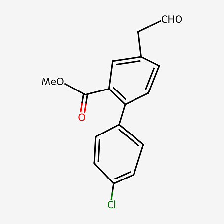 COC(=O)c1cc(CC=O)ccc1-c1ccc(Cl)cc1